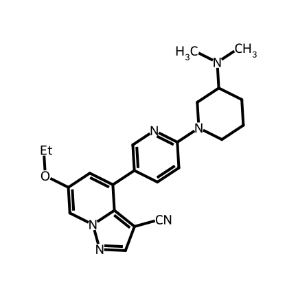 CCOc1cc(-c2ccc(N3CCCC(N(C)C)C3)nc2)c2c(C#N)cnn2c1